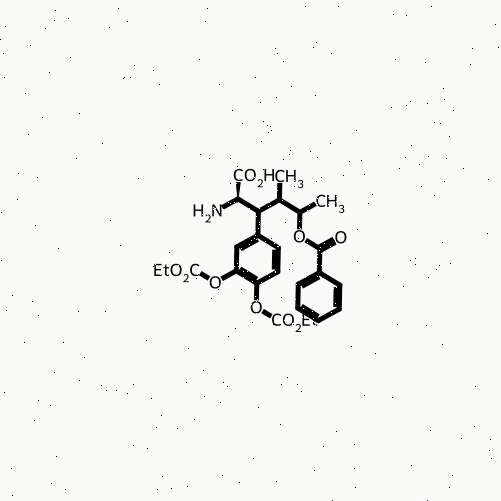 CCOC(=O)Oc1ccc(C(C(C)C(C)OC(=O)c2ccccc2)[C@@H](N)C(=O)O)cc1OC(=O)OCC